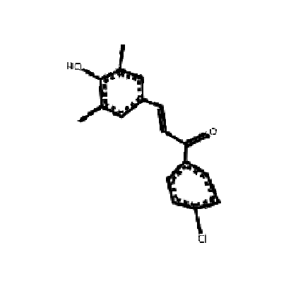 Cc1cc(C=CC(=O)c2ccc(Cl)cc2)cc(C)c1O